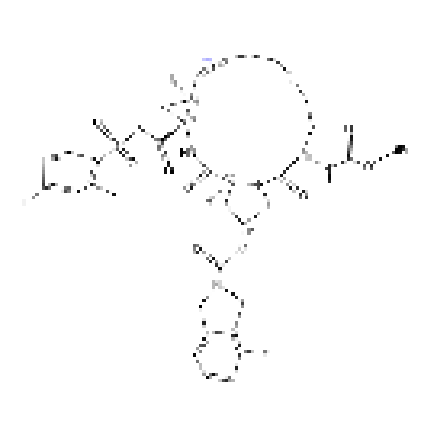 Cc1cc(F)ccc1S(=O)(=O)NC(=O)[C@@]12C[C@H]1/C=C\CCCCC[C@H](NC(=O)OC(C)(C)C)C(=O)N1C[C@H](OC(=O)N3Cc4cccc(F)c4C3)C[C@H]1C(=O)N2